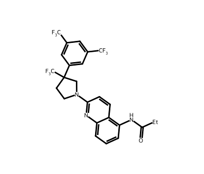 CCC(=O)Nc1cccc2nc(N3CCC(c4cc(C(F)(F)F)cc(C(F)(F)F)c4)(C(F)(F)F)C3)ccc12